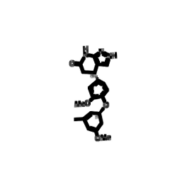 COC1=CC(C)=C[C@@H](Oc2ccc([C@@H]3CC(=O)Nc4n[nH]cc43)cc2OC)C1